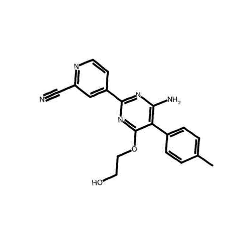 Cc1ccc(-c2c(N)nc(-c3ccnc(C#N)c3)nc2OCCO)cc1